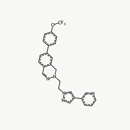 FC(F)(F)Oc1ccc(-c2ccc3c(c2)CN(CCn2cc(-c4cccnc4)cn2)N=C3)cc1